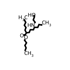 CCCCCCOC(=O)C(CCCCCC)CCCC(CCCC)NCCCO